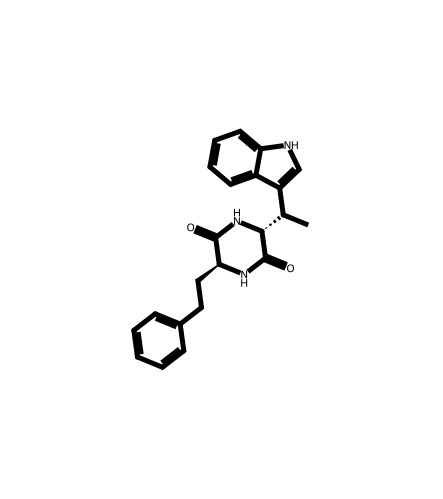 CC(c1c[nH]c2ccccc12)[C@H]1NC(=O)[C@H](CCc2ccccc2)NC1=O